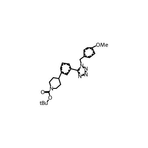 COc1ccc(Cn2nnnc2-c2cccc(C3CCN(C(=O)OC(C)(C)C)CC3)c2)cc1